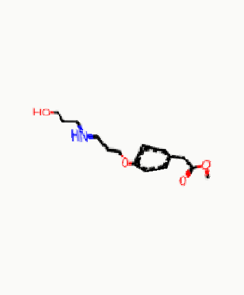 COC(=O)Cc1ccc(OCCCNCCCO)cc1